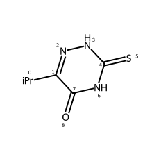 CC(C)c1n[nH]c(=S)[nH]c1=O